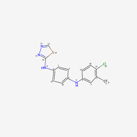 FC(F)(F)c1cc(Nc2ccc(Nc3nncs3)cc2)ccc1Cl